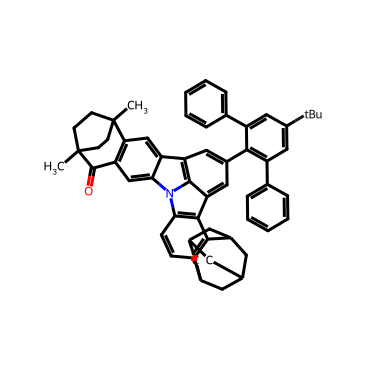 CC12CCC(C)(CC1)c1cc3c4cc(-c5c(-c6ccccc6)cc(C(C)(C)C)cc5-c5ccccc5)cc5c6c7c(ccc6n(c3cc1C2=O)c45)C1CC2CC(C1)CC7C2